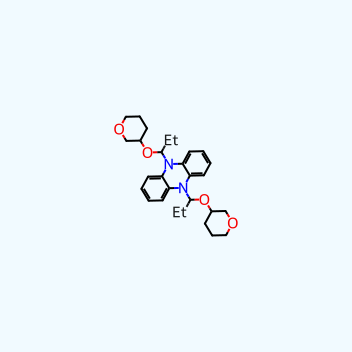 CCC(OC1CCCOC1)N1c2ccccc2N(C(CC)OC2CCCOC2)c2ccccc21